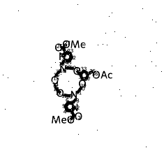 COC(=O)c1cccc(CN2CCOCCOCCN(Cc3cccc(C(=O)OC)n3)CCOC3CC(COC(C)=O)CC3OCC2)n1